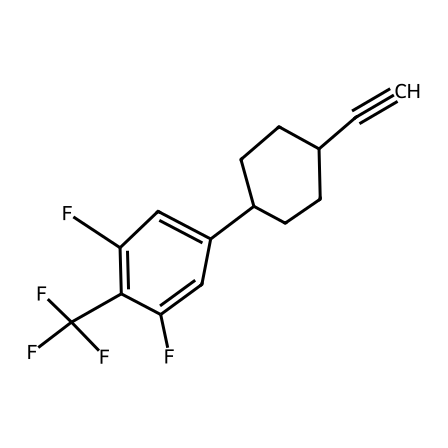 C#CC1CCC(c2cc(F)c(C(F)(F)F)c(F)c2)CC1